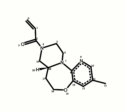 C=CC(=O)N1CCN2c3ncc(C)cc3OCC[C@@H]2C1